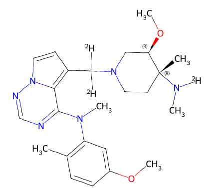 [2H]N(C)[C@]1(C)CCN(C([2H])([2H])c2ccn3ncnc(N(C)c4cc(OC)ccc4C)c23)C[C@H]1OC